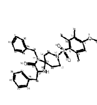 COc1cc(C)c(S(=O)(=O)N2CCC3(CC2)NC(Cc2ccccc2)C(=O)N3Cc2ccccc2)c(C)c1C